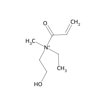 C=CC(=O)[N+](C)(CC)CCO